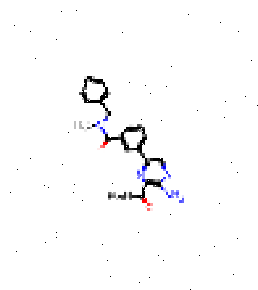 CNC(=O)c1nc(-c2cccc(C(=O)N(C)Cc3ccccc3)c2)cnc1N